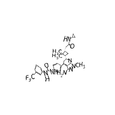 Cn1nc(N)c2c1=NC([C@H]1C[C@@H](CC(=O)NC3CC3)C1(C)C)CC=2c1ccc(NC(=O)Nc2cccc(C(F)(F)F)c2)cc1